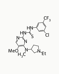 CCN1CCC(N(C)c2nc(NC(=S)Nc3cc(Cl)cc(C(F)(F)F)c3)ncc2OC)C1